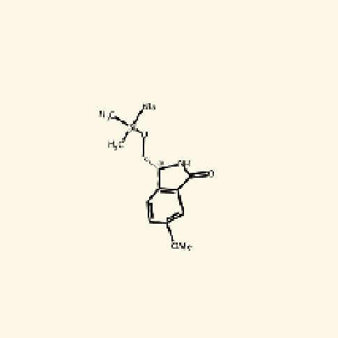 COc1ccc2c(c1)C(=O)N[C@H]2CO[Si](C)(C)C(C)(C)C